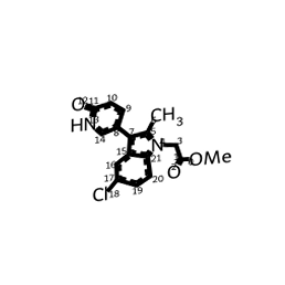 COC(=O)Cn1c(C)c(-c2ccc(=O)[nH]c2)c2cc(Cl)ccc21